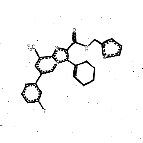 O=C(NCc1cccs1)c1nc2c(C(F)(F)F)cc(-c3cccc(F)c3)cn2c1C1=CCCCC1